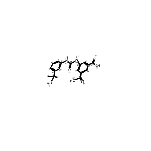 CC(C)(O)c1cccc(NC(=O)Nc2cc(C(=O)O)cc(C(=O)O)c2)c1